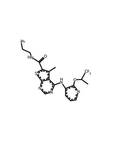 Cc1c(C(=O)NCCC(C)C)sc2ncnc(Nc3cccnc3OC(C)C(F)(F)F)c12